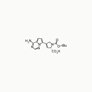 CC(C)(C)OC(=O)N1CC(c2ccc3c(N)ncnn23)=C[C@H]1C(=O)O